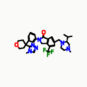 CC(C)[C@H]1CN(C)CCN1Cc1cc2c(c(C(F)(F)F)c1)CN(c1cccc(C3(c4nncn4C)CCOCC3)c1)C2=O